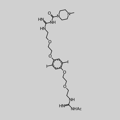 CC(=O)NC(=N)NCCOCCOc1cc(I)c(OCCOCCNC(=N)NC(=O)N2CCN(C)CC2)cc1I